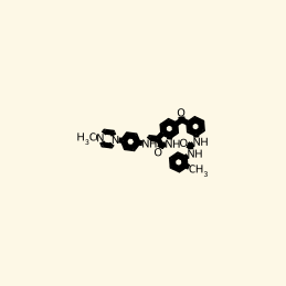 Cc1ccccc1NC(=O)Nc1cccc(C(=O)c2ccc3c(c2)NC(=O)C3=CNc2ccc(N3CCN(C)CC3)cc2)c1